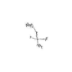 CCCC(F)(F)COC